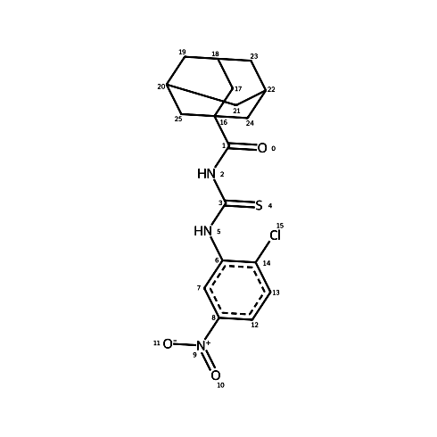 O=C(NC(=S)Nc1cc([N+](=O)[O-])ccc1Cl)C12CC3CC(CC(C3)C1)C2